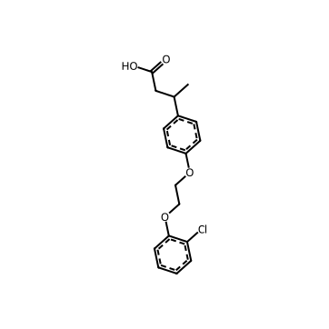 CC(CC(=O)O)c1ccc(OCCOc2ccccc2Cl)cc1